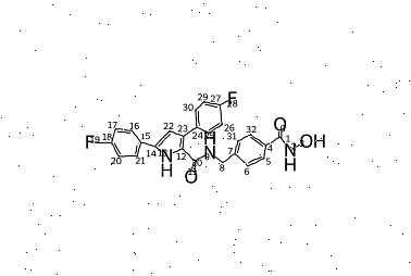 O=C(NO)c1ccc(CNC(=O)c2[nH]c(-c3ccc(F)cc3)cc2-c2ccc(F)cc2)cc1